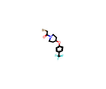 O=C(CBr)N1CCC(Oc2ccc(C(F)(F)F)cc2)CC1